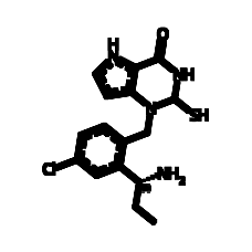 CC[C@@H](N)c1cc(Cl)ccc1CN1c2cc[nH]c2C(=O)NC1S